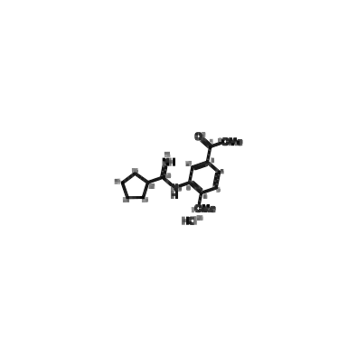 COC(=O)c1ccc(OC)c(NC(=N)C2CCCC2)c1.Cl